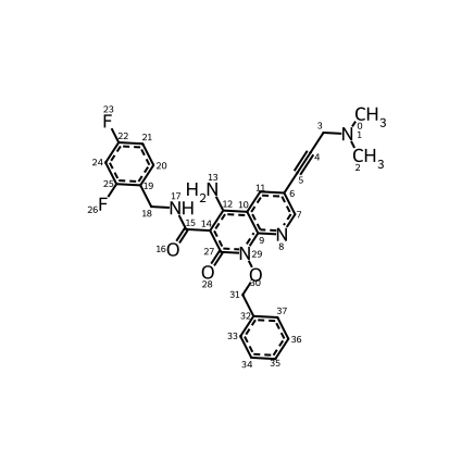 CN(C)CC#Cc1cnc2c(c1)c(N)c(C(=O)NCc1ccc(F)cc1F)c(=O)n2OCc1ccccc1